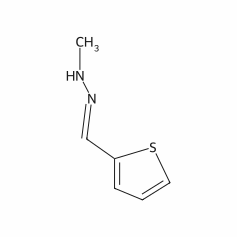 CN/N=C/c1cccs1